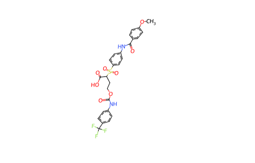 COc1ccc(C(=O)Nc2ccc(S(=O)(=O)C(CCOC(=O)Nc3ccc(C(F)(F)F)cc3)C(=O)O)cc2)cc1